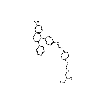 O=C(O)COCCN1CCN(CCOc2ccc(C3c4ccc(O)cc4CCC3C3C=CC=CC3)cc2)CC1